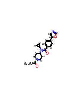 CC(C)COC(=O)N1CCC(N(C(=O)c2ccc(-c3cnco3)cc2)C2CC2)CC1